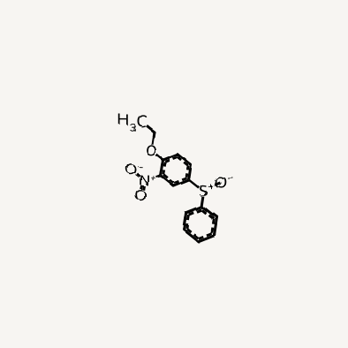 CCOc1ccc([S+]([O-])c2ccccc2)cc1[N+](=O)[O-]